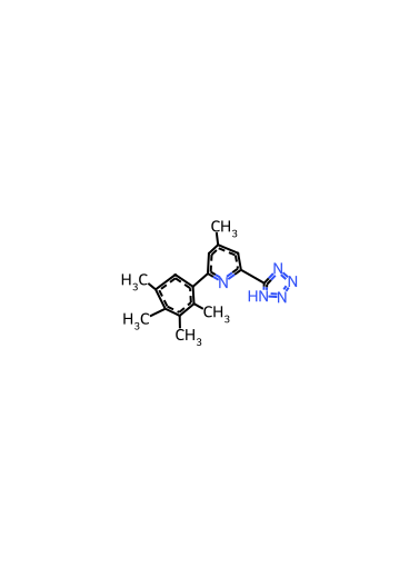 Cc1cc(-c2nnn[nH]2)nc(-c2cc(C)c(C)c(C)c2C)c1